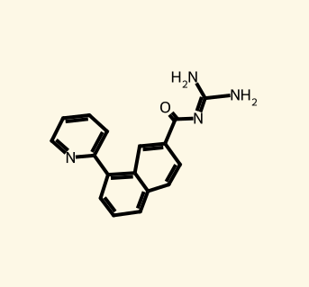 NC(N)=NC(=O)c1ccc2cccc(-c3ccccn3)c2c1